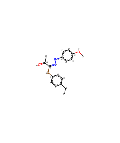 CCc1ccc(SC(=NNc2ccc(OC)cc2)C(C)=O)cc1